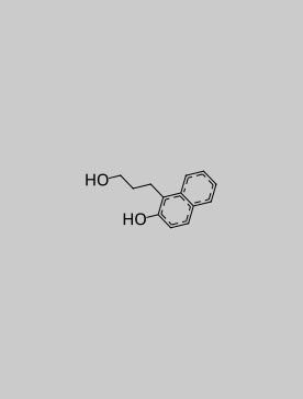 OCCCc1c(O)ccc2ccccc12